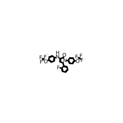 O=C1C(Nc2ccc(OC(F)(F)F)cc2)=CC(c2ccccc2F)N1c1ccc(OC(F)(F)F)cc1